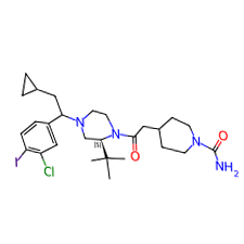 CC(C)(C)[C@H]1CN(C(CC2CC2)c2ccc(I)c(Cl)c2)CCN1C(=O)CC1CCN(C(N)=O)CC1